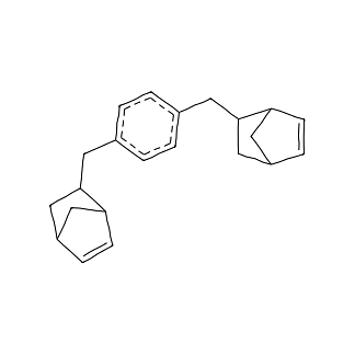 C1=CC2CC1CC2Cc1ccc(CC2CC3C=CC2C3)cc1